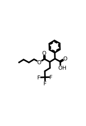 CCCCOC(=O)C(CCC(F)(F)F)C(C(=O)O)c1ccccc1